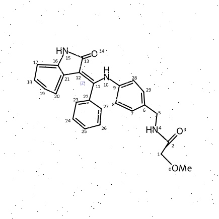 COCC(=O)NCc1ccc(N/C(=C2\C(=O)Nc3ccccc32)c2ccccc2)cc1